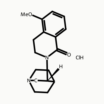 COc1cccc2c1CCN([C@H]1CN3CCC1CC3)C2=O.Cl